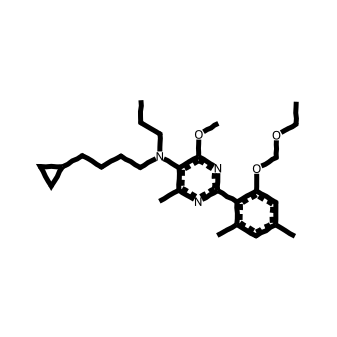 CCCN(CCCCC1CC1)c1c(C)nc(-c2c(C)cc(C)cc2OCOCC)nc1OC